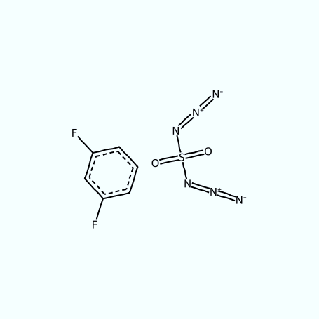 Fc1cccc(F)c1.[N-]=[N+]=NS(=O)(=O)N=[N+]=[N-]